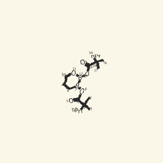 CCCC(C)(C)C(=O)OB1CCCOB1OC(=O)C(C)(C)CCC